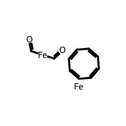 C1=CC=CC=CC=C1.O=[CH][Fe][CH]=O.[Fe]